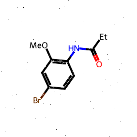 CCC(=O)Nc1ccc(Br)cc1OC